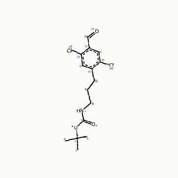 CC(C)(C)OC(=O)NCCCc1cc(Cl)c(C=O)cc1Cl